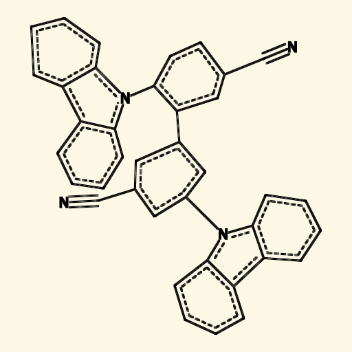 N#Cc1cc(-c2cc(C#N)ccc2-n2c3ccccc3c3ccccc32)cc(-n2c3ccccc3c3ccccc32)c1